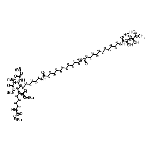 CCCCN(C(=O)OC(C)(C)C)C(NC(=O)OC(C)(C)C)C(CCCCCCNC(=O)CCCCCCCCCCCNC(=O)CCCCCCCCCCCNC(=O)[C@H](O)[C@@H](O)[C@H](O)[C@@H](C)O)CN(CCCCNC(=O)OC(C)(C)C)C(=O)OC(C)(C)C